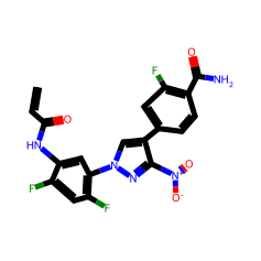 C=CC(=O)Nc1cc(-n2cc(-c3ccc(C(N)=O)c(F)c3)c([N+](=O)[O-])n2)c(F)cc1F